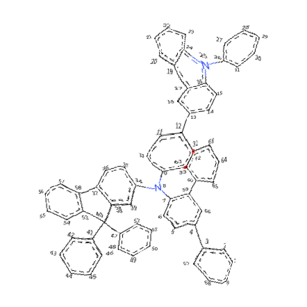 c1ccc(-c2ccc(N(c3ccc(-c4ccc5c(c4)c4ccccc4n5-c4ccccc4)cc3)c3ccc4c(c3)C(c3ccccc3)(c3ccccc3)c3ccccc3-4)c(-c3ccccc3)c2)cc1